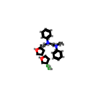 C1CCOC1.C1CCOC1.C[N]([Ti+2][N](C)c1ccccc1)c1ccccc1.[Cl-].[Cl-]